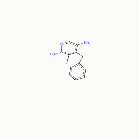 Cc1c(N)ncc(N)c1Cc1ccccc1